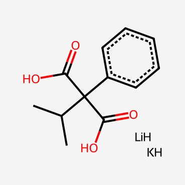 CC(C)C(C(=O)O)(C(=O)O)c1ccccc1.[KH].[LiH]